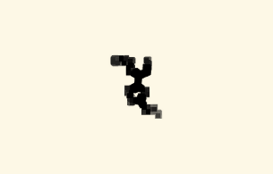 CON=C(C=S)c1nsc(N)n1